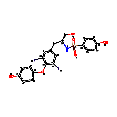 O=S(=O)(N[C@H](CO)Cc1cc(I)c(Oc2ccc(O)cc2)c(I)c1)c1ccc(O)cc1